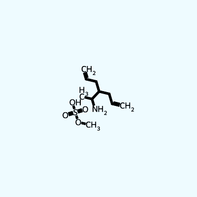 C=CCC(CC=C)C(C)N.COS(=O)(=O)O